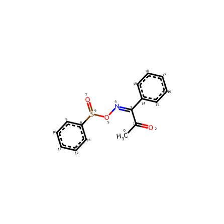 CC(=O)/C(=N\OS(=O)c1ccccc1)c1ccccc1